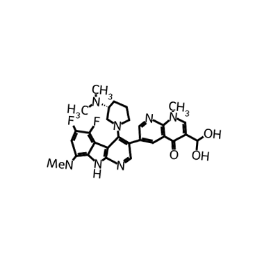 CNc1cc(F)c(F)c2c1[nH]c1ncc(-c3cnc4c(c3)c(=O)c(C(O)O)cn4C)c(N3CCC[C@@H](N(C)C)C3)c12